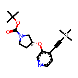 CC(C)(C)OC(=O)N1CC[C@@H](Oc2cnccc2C#C[Si](C)(C)C)C1